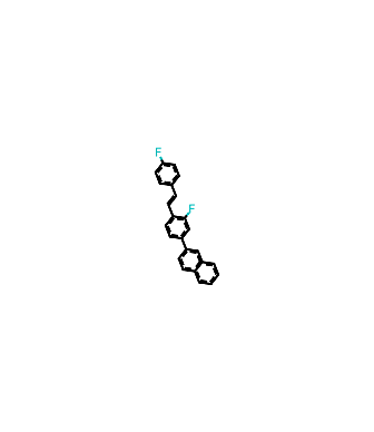 Fc1ccc(C=Cc2ccc(-c3ccc4ccccc4c3)cc2F)cc1